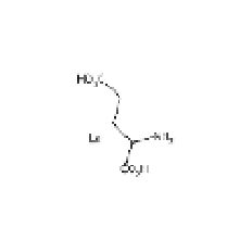 NC(CCC(=O)O)C(=O)O.[La]